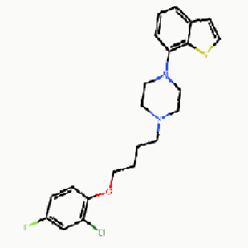 Fc1ccc(OCCCCN2CCN(c3cccc4ccsc34)CC2)c(Cl)c1